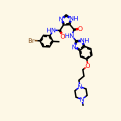 Cc1ccc(Br)cc1NC(=O)c1nc[nH]c1C(=O)Nc1nc2cc(OCCCN3CCN(C)CC3)ccc2[nH]1